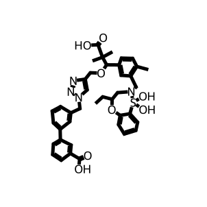 CCC1CN(Cc2cc(C(OCc3cn(Cc4cccc(-c5cccc(C(=O)O)c5)c4)nn3)C(C)(C)C(=O)O)ccc2C)S(O)(O)c2ccccc2O1